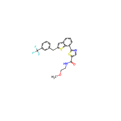 COCCNC(=O)c1cnc(-c2cccc3cc(Cc4cccc(C(F)(F)F)c4)sc23)s1